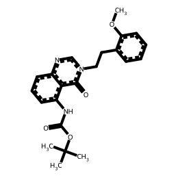 COc1ccccc1CCn1cnc2cccc(NC(=O)OC(C)(C)C)c2c1=O